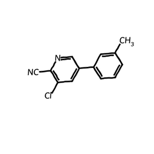 Cc1cccc(-c2cnc(C#N)c(Cl)c2)c1